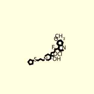 COc1ccc2ncc(Cl)c([C@H](F)CCC3(C(=O)O)CCN(CCCSC4CCCC4)CC3)c2c1